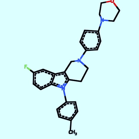 Cc1ccc(-n2c3c(c4cc(F)ccc42)CN(c2ccc(N4CCOCC4)cc2)CC3)cc1